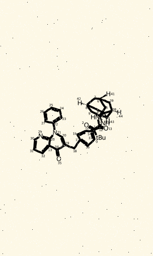 CC(C)(C)C(=O)N[C@]12C[C@@H]3C[C@H](C1)[C@@H](NC(=O)c1ccc(Cc4cn(-c5ccccc5)c5ncccc5c4=O)cc1)[C@@H](C3)C2